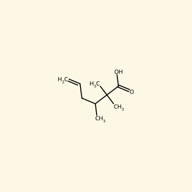 C=CCC(C)C(C)(C)C(=O)O